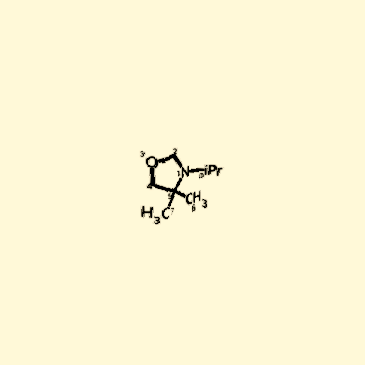 CC(C)N1COCC1(C)C